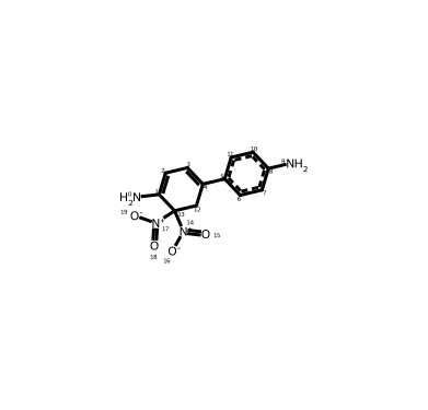 NC1=CC=C(c2ccc(N)cc2)CC1([N+](=O)[O-])[N+](=O)[O-]